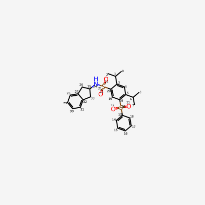 CC(C)c1cc(C(C)C)c(S(=O)(=O)c2ccccc2)cc1S(=O)(=O)NC1Cc2ccccc2C1